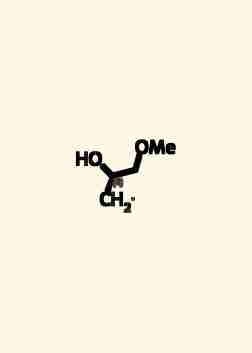 [CH2][C@@H](O)COC